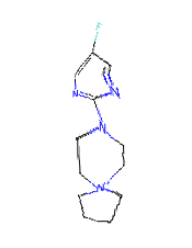 Fc1cnc(N2CC[N+]3(CCCC3)CC2)nc1